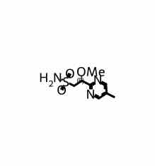 CO[C@@H](CS(N)(=O)=O)c1ncc(C)cn1